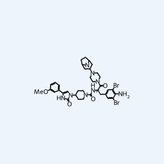 COc1cccc(-c2cn(C3CCN(C(=O)N[C@H](Cc4cc(Br)c(N)c(Br)c4)C(=O)N4CCN(C5CC6CCC(C5)N6C)CC4)CC3)c(=O)[nH]2)c1